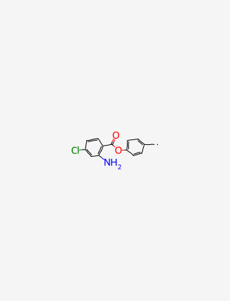 [CH2]c1ccc(OC(=O)c2ccc(Cl)cc2N)cc1